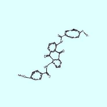 CCOc1ccc(C(=O)Nc2cccc3c2C(=O)c2cccc(NC(=O)c4ccc(OC)cc4)c2C3=O)cc1